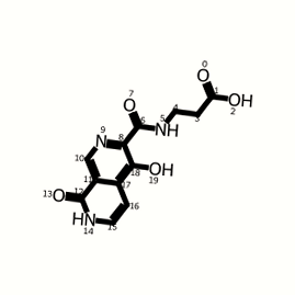 O=C(O)CCNC(=O)c1ncc2c(=O)[nH]ccc2c1O